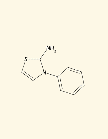 NC1SC=CN1c1ccccc1